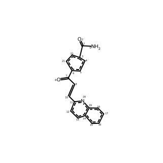 NC(=O)c1ccc(C(=O)C=Cc2ccc3ccccc3n2)cc1